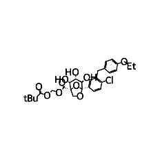 CCOc1ccc(Cc2cc([C@]34OC[C@](C(=O)OCOC(=O)C(C)(C)C)(O3)[C@@H](O)[C@H](O)[C@H]4O)ccc2Cl)cc1